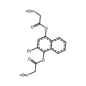 CCCCCCCCCCCC(=O)Oc1cc(CC)c(OC(=O)CCCCCCCCCCC)c2ccccc12